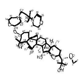 CCO[C@@H](C1C[C@@H](C)[C@H]2C(O1)[C@H](O)[C@@]1(C)C3CC[C@H]4C(C)(C)[C@@H](O[C@H]5CN(CC(C)(C)N6CCOCC6)CCO5)CCC45C[C@@]35CC[C@]21C)C(C)(C)O